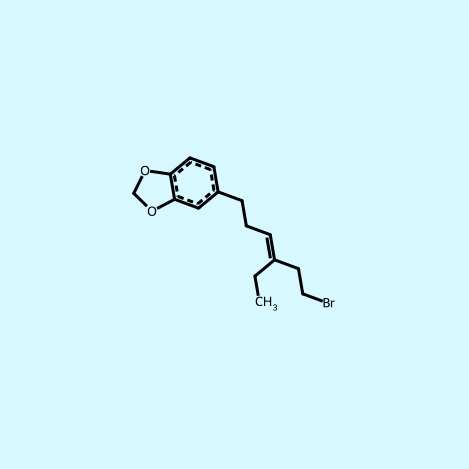 CC/C(=C\CCc1ccc2c(c1)OCO2)CCBr